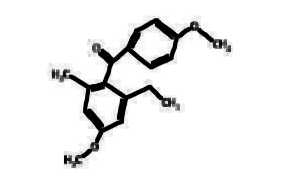 CCc1cc(OC)cc(C)c1C(=O)c1ccc(OC)cc1